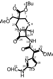 COCC1(C(=O)OC(C)(C)C)CS[C@@H]2C(NC(=O)C(=NOC)c3csc(NC=O)n3)C(=O)N2C1